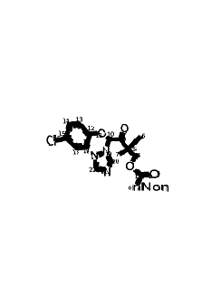 CCCCCCCCCC(=O)OCC(C)(C)C(=O)C(Oc1ccc(Cl)cc1)n1cncn1